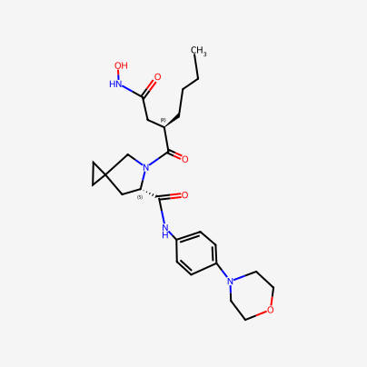 CCCC[C@H](CC(=O)NO)C(=O)N1CC2(CC2)C[C@H]1C(=O)Nc1ccc(N2CCOCC2)cc1